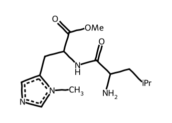 COC(=O)C(Cc1cncn1C)NC(=O)C(N)CC(C)C